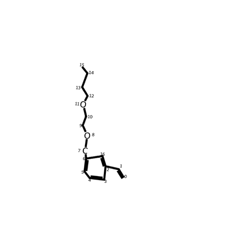 C=Cc1cccc(COCCOCCCC)c1